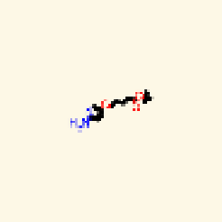 CC(C)(C)OC(=O)CCCCOc1ccc(N)nc1